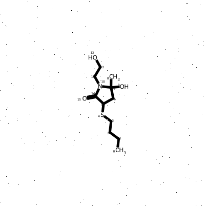 CCCCSC1CC(C)(O)N(CCO)C1=O